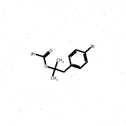 CC(C)C(=O)OC(C)(C)Cc1ccc(Br)cc1